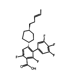 C/C=C/CC[C@H]1CC[C@H](c2cc(F)c(C(=O)O)c(F)c2-c2cc(F)c(F)c(F)c2)CC1